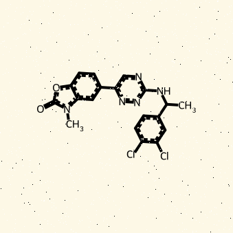 CC(Nc1ncc(-c2ccc3oc(=O)n(C)c3c2)nn1)c1ccc(Cl)c(Cl)c1